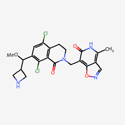 COC(c1cc(Cl)c2c(c1Cl)C(=O)N(Cc1c(=O)[nH]c(C)c3cnoc13)CC2)C1CNC1